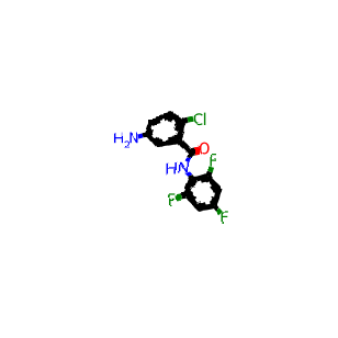 Nc1ccc(Cl)c(C(=O)Nc2c(F)cc(F)cc2F)c1